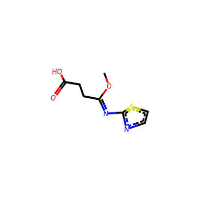 COC(CCC(=O)O)=Nc1nccs1